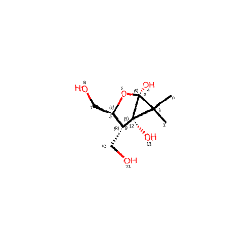 CC1(C)[C@]2(O)O[C@H](CO)[C@@H](CO)[C@]12O